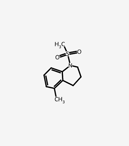 Cc1cccc2c1CCCN2S(C)(=O)=O